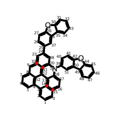 c1ccc(-c2cccc3cccc(-c4ccccc4N(c4cccc(-c5ccc6oc7ccccc7c6c5)c4)c4ccc5oc6ccccc6c5c4)c23)cc1